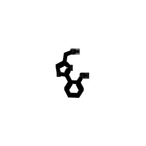 OCc1csc(-c2ccccc2O)n1